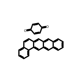 O=C1C=CC(=O)C=C1.c1ccc2cc3cc4c(ccc5ccccc54)cc3cc2c1